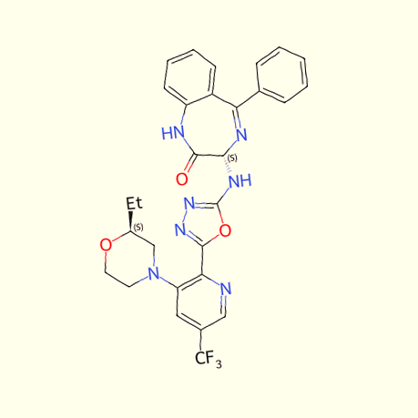 CC[C@H]1CN(c2cc(C(F)(F)F)cnc2-c2nnc(N[C@H]3N=C(c4ccccc4)c4ccccc4NC3=O)o2)CCO1